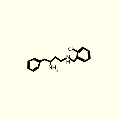 NC(CCNCc1ccccc1Cl)Cc1ccccc1